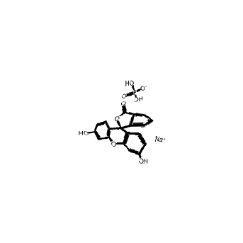 O=C1OC2(c3ccc(O)cc3Oc3cc(O)ccc32)c2ccccc21.O=P([O-])(O)O.[Na+]